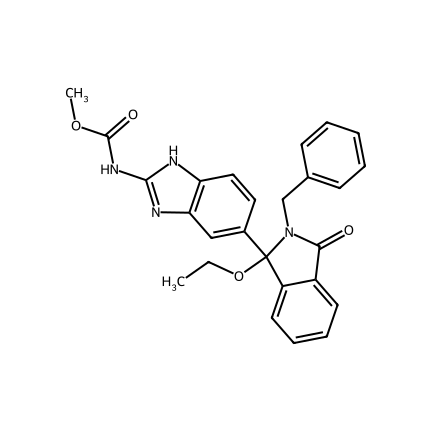 CCOC1(c2ccc3[nH]c(NC(=O)OC)nc3c2)c2ccccc2C(=O)N1Cc1ccccc1